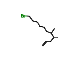 C=CCC(C)C(C)CCCCCCBr